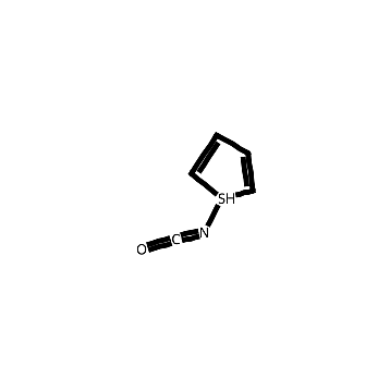 O=C=N[SH]1C=CC=C1